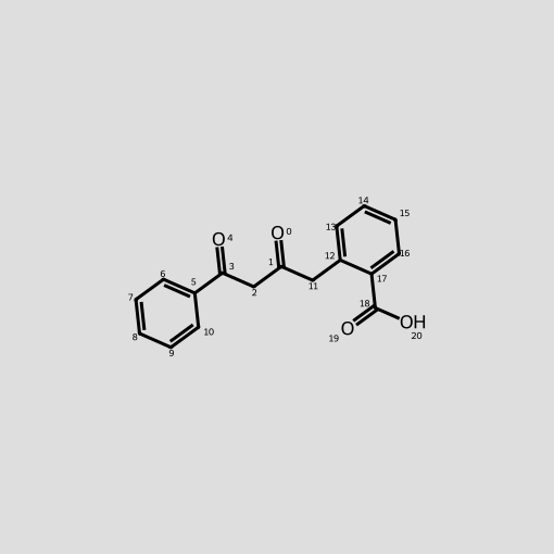 O=C(CC(=O)c1ccccc1)Cc1ccccc1C(=O)O